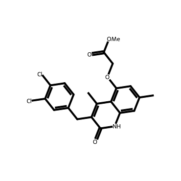 COC(=O)COc1cc(C)cc2[nH]c(=O)c(Cc3ccc(Cl)c(Cl)c3)c(C)c12